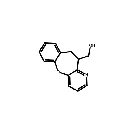 OCC1Cc2ccccc2Oc2cccnc21